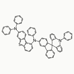 c1ccc(N(c2ccccc2)c2ccc3c(c2)sc2cccc(N(c4ccccc4)c4ccc5c(c4)-c4ccccc4C54c5ccccc5N(c5ccccc5)c5ccccc54)c23)cc1